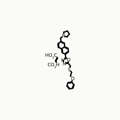 O=C(O)C=CC(=O)O.c1ccc(OCCSCc2nnc(-c3ccc4cc(CN5CCCC5)ccc4c3)o2)cc1